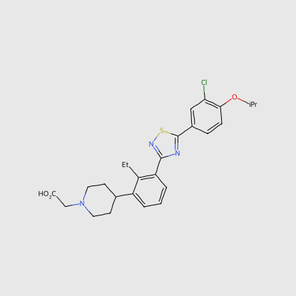 CCc1c(-c2nsc(-c3ccc(OC(C)C)c(Cl)c3)n2)cccc1C1CCN(CC(=O)O)CC1